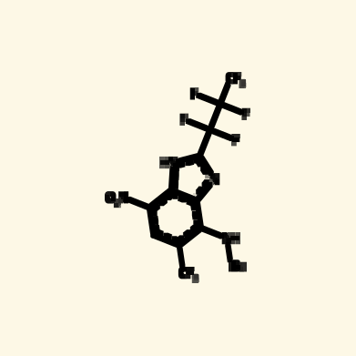 CCC(C)Nc1c(C(F)(F)F)cc([N+](=O)[O-])c2[nH]c(C(F)(F)C(F)(F)C(F)(F)F)nc12